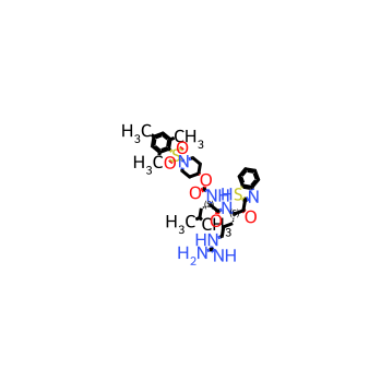 Cc1cc(C)c(S(=O)(=O)N2CCC(OC(=O)N[C@@H](CC(C)C)C(=O)N[C@@H](CCCNC(=N)N)C(=O)c3nc4ccccc4s3)CC2)c(C)c1